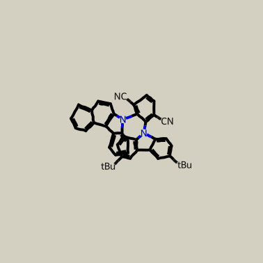 CC(C)(C)c1ccc2c(c1)c1cc(C(C)(C)C)ccc1n2-c1c(C#N)ccc(C#N)c1-n1c2ccccc2c2c3ccccc3ccc21